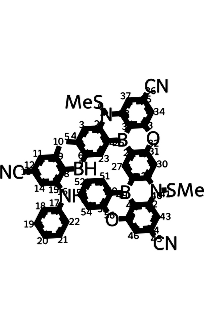 CSN1c2cc(C)c(Bc3c(C)cc(C#N)cc3Nc3ccccc3)cc2B2c3cc4c(cc3Oc3cc(C#N)cc1c32)N(SC)c1cc(C#N)cc2c1B4c1ccccc1O2